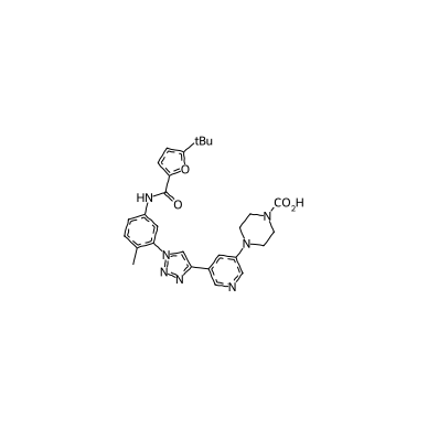 Cc1ccc(NC(=O)c2ccc(C(C)(C)C)o2)cc1-n1cc(-c2cncc(N3CCN(C(=O)O)CC3)c2)nn1